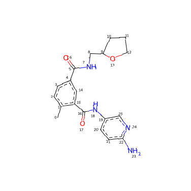 Cc1ccc(C(=O)NCC2CCCO2)cc1C(=O)Nc1ccc(N)nc1